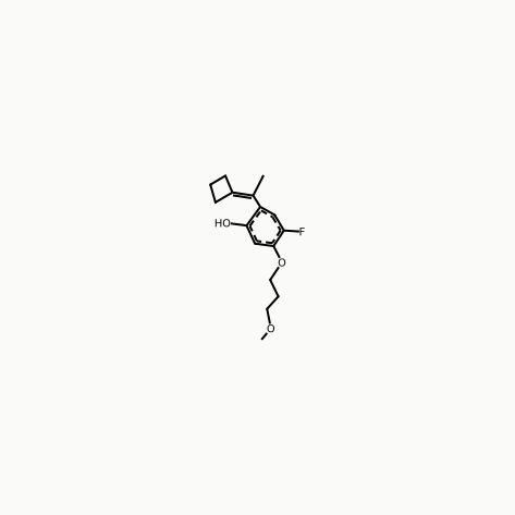 COCCCOc1cc(O)c(C(C)=C2CCC2)cc1F